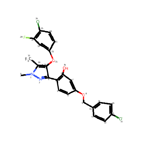 Cn1nc(-c2ccc(OCc3ccc(Cl)cc3)cc2O)c(Oc2ccc(Cl)c(F)c2)c1C(F)(F)F